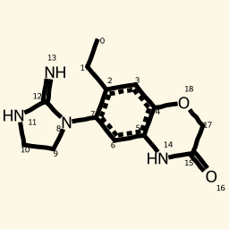 CCc1cc2c(cc1N1CCNC1=N)NC(=O)CO2